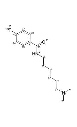 CN(C)CCCCCCNC(=O)c1ccc([18F])cc1